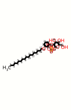 CCCCCCCCCCCCCCCCCCOc1ccccc1OS(=O)(=O)O[C@@H]1O[C@H](CO)[C@@H](O)[C@H](O)[C@@H]1O